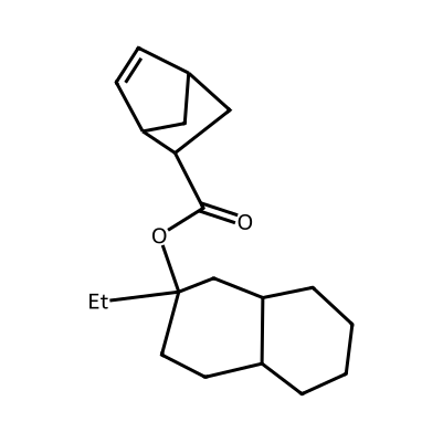 CCC1(OC(=O)C2CC3C=CC2C3)CCC2CCCCC2C1